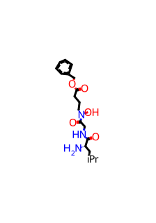 CC(C)C[C@H](N)C(=O)NCC(=O)N(O)CCCC(=O)OCc1ccccc1